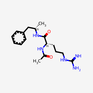 CC(=O)N[C@@H](CCCNC(=N)N)C(=O)N[C@@H](C)Cc1ccccc1